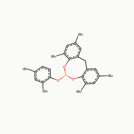 CC(C)(C)c1ccc(OP2Oc3c(cc(C(C)(C)C)cc3C(C)(C)C)Cc3cc(C(C)(C)C)cc(C(C)(C)C)c3O2)c(C(C)(C)C)c1